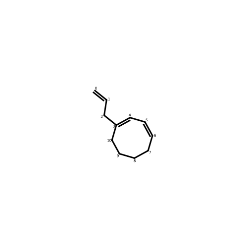 C=CCC1=CC=CCCCC1